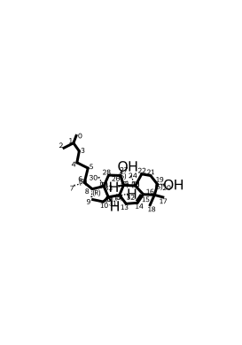 CC(C)CCC[C@@H](C)[C@H]1CC[C@H]2[C@@H]3CC=C4C(C)(C)[C@@H](O)CC[C@]4(C)[C@H]3[C@@H](O)C[C@]12C